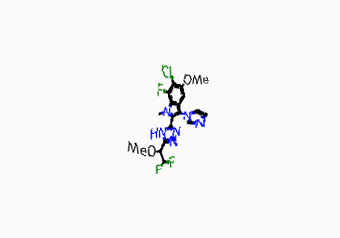 COc1cc2c(-n3ccnc3)c(-c3nnc([C@H](OC)C(F)F)[nH]3)n(C)c2c(F)c1Cl